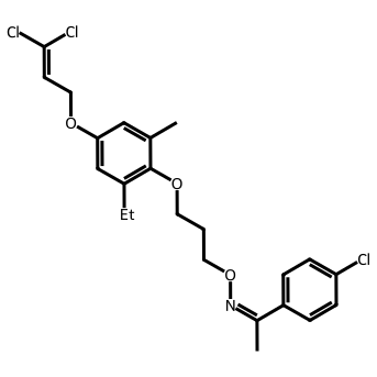 CCc1cc(OCC=C(Cl)Cl)cc(C)c1OCCCON=C(C)c1ccc(Cl)cc1